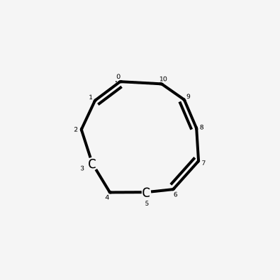 [C]1=CCCCCC=CC=CC1